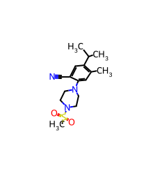 Cc1cc(N2CCN(S(C)(=O)=O)CC2)c(C#N)cc1C(C)C